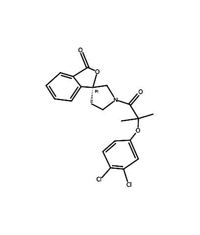 CC(C)(Oc1ccc(Cl)c(Cl)c1)C(=O)N1CC[C@@]2(C1)OC(=O)c1ccccc12